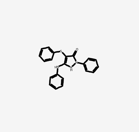 O=c1c(Sc2ccccc2)c(Nc2ccccc2)[nH]n1-c1ccccc1